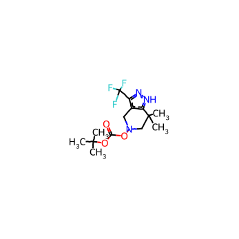 CC(C)(C)OC(=O)ON1Cc2c(C(F)(F)F)n[nH]c2C(C)(C)C1